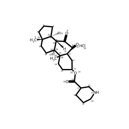 C[C@@]12CCC[C@H]1[C@@H]1C(=O)C(=O)C3C[C@@H](OC(=O)C4CCCNC4)CC[C@]3(C)[C@H]1CC2.Cl